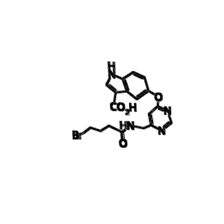 O=C(CCCBr)NCc1cc(Oc2ccc3[nH]cc(C(=O)O)c3c2)ncn1